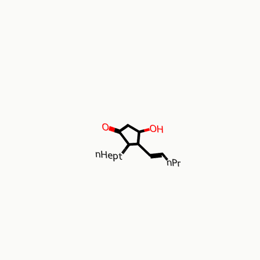 CCC/C=C/C1C(O)CC(=O)C1CCCCCCC